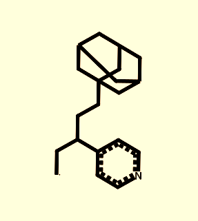 [CH2]CC(CCC12CC3CC(CC(C3)C1)C2)c1ccncc1